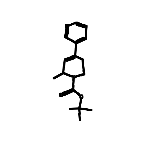 CC1C=C(c2cccnc2)CCN1C(=O)OC(C)(C)C